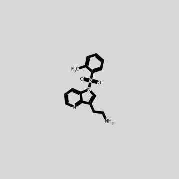 NCCc1cn(S(=O)(=O)c2ccccc2C(F)(F)F)c2cccnc12